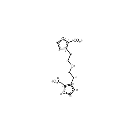 O=C(O)c1occc1CCOCCc1ccoc1C(=O)O